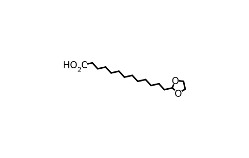 O=C(O)CCCCCCCCCCCCC1OCCO1